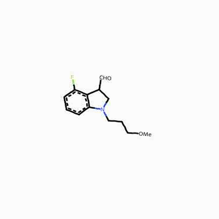 COCCCN1CC(C=O)c2c(F)cccc21